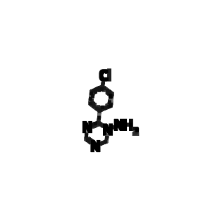 NN1CN=CN=C1c1ccc(Cl)cc1